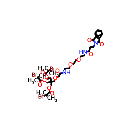 CC(C)(Br)C(=O)OCC(COCC(=O)NCCOCCOCCNC(=O)CCN1C(=O)C2C3C=CC(C3)C2C1=O)(COC(=O)C(C)(C)Br)COC(=O)C(C)(C)Br